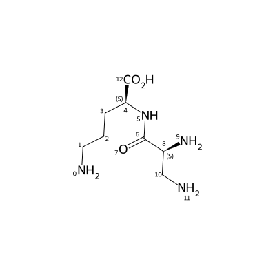 NCCC[C@H](NC(=O)[C@@H](N)CN)C(=O)O